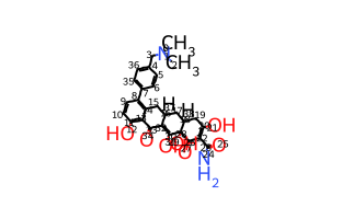 CN(C)Cc1ccc(-c2ccc(O)c3c2C[C@H]2C[C@H]4CC(O)=C(C(N)=O)C(=O)C4(O)C(O)=C2C3=O)cc1